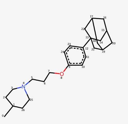 CC1CCN(CCCOc2ccc(C34CC5CC(CC(C5)C3)C4)cc2)CC1